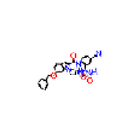 Cn1c(C(=O)Nc2ccc(C#N)cc2-c2noc(=O)[nH]2)cc2ccc(OCc3ccccc3)cc21